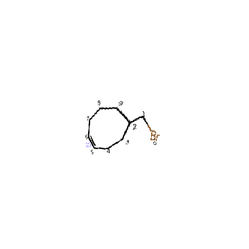 BrCC1CC/C=C\CCC1